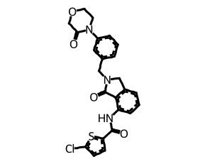 O=C(Nc1cccc2c1C(=O)N(Cc1cccc(N3CCOCC3=O)c1)C2)c1ccc(Cl)s1